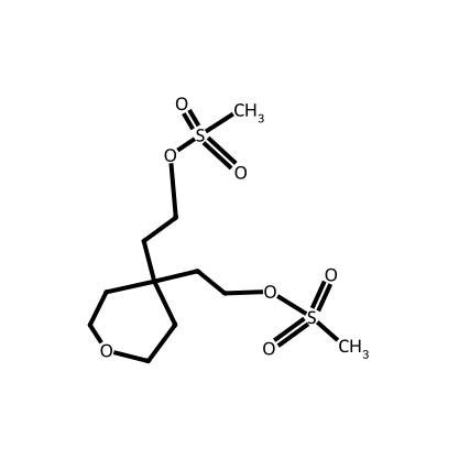 CS(=O)(=O)OCCC1(CCOS(C)(=O)=O)CCOCC1